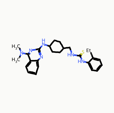 CCc1ccccc1NC(=S)NCC1CCC(Nc2nc(N(C)C)c3ccccc3n2)CC1